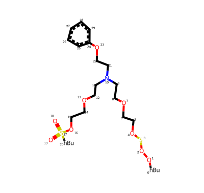 CCCCOOSOCCOCCN(CCOCCOS(=O)(=O)CCCC)CCOc1ccccc1